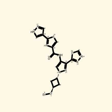 CCO[C@H]1C[C@H](n2cc(NC(=O)c3csc(-c4cn[nH]c4)n3)c(-c3nnco3)n2)C1